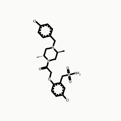 C[C@@H]1CN(Cc2ccc(Cl)cc2)[C@@H](C)CN1C(=O)COc1ccc(Cl)cc1CS(N)(=O)=O